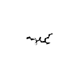 C=CCOC(=O)C(=C)CC(CC)CCCC